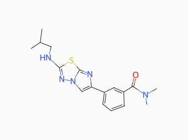 CC(C)CNc1nn2cc(-c3cccc(C(=O)N(C)C)c3)nc2s1